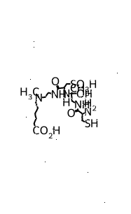 CN(CCCCCC(=O)O)CCNC(=O)C(CS(=O)(=O)O)NC(C)(O)CNC(=O)C(N)CS